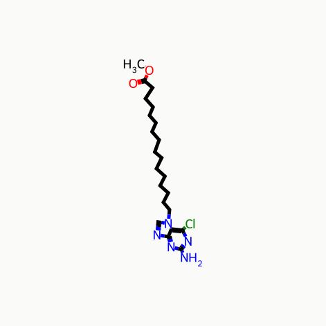 COC(=O)CCCCCCCCCCCCCCCn1cnc2nc(N)nc(Cl)c21